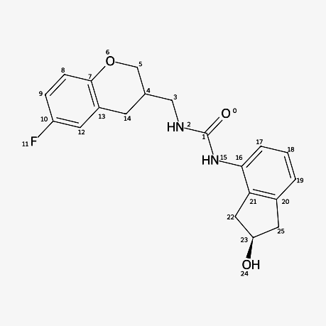 O=C(NCC1COc2ccc(F)cc2C1)Nc1cccc2c1C[C@H](O)C2